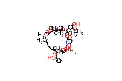 CO[C@@H]1C[C@H](C[C@@H](C)[C@@H]2CC(=O)[C@H](C)/C=C(\C)[C@@H](O)[C@@H](OC)C(=O)[C@H](C)C[C@H](C)/C=C/C=C/C=C(\C)C(OC[C@H](O)c3ccccc3)C[C@@H]3CC[C@@H](C)[C@@](O)(O3)C(=O)C(=O)N3CCCCC3C(=O)O2)CC[C@H]1O